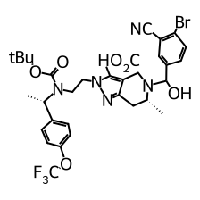 C[C@@H]1Cc2nn(CCN(C(=O)OC(C)(C)C)[C@@H](C)c3ccc(OC(F)(F)F)cc3)c(C(=O)O)c2CN1C(O)c1ccc(Br)c(C#N)c1